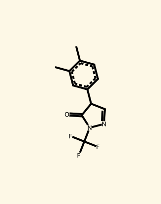 Cc1ccc(C2C=NN(C(F)(F)F)C2=O)cc1C